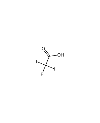 O=C(O)C(F)(I)I